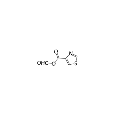 O=COC(=O)c1cscn1